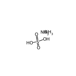 N.O=S(=O)(O)O.[BiH3]